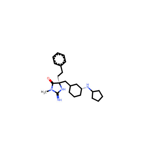 CN1C(=N)N[C@](CCc2ccccc2)(CC2CCC[C@@H](NC3CCCC3)C2)C1=O